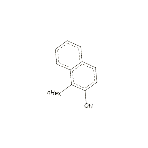 CCCCCCc1c(O)ccc2ccccc12